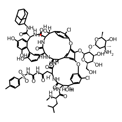 CN[C@H](CC(C)C)C(=O)N[C@H]1C(=O)N[C@@H](CC(=O)NC(=O)NS(=O)(=O)c2ccc(C)cc2)C(=O)N[C@H]2C(=O)N[C@H]3C(=O)N[C@H](C(=O)N[C@H](C(=O)NC4C5CC6CC(C5)CC4C6)c4cc(O)cc(O)c4-c4cc3ccc4O)[C@H](O)c3ccc(c(Cl)c3)Oc3cc2cc(c3O[C@@H]2O[C@H](CO)[C@@H](O)[C@H](O)[C@H]2O[C@H]2C[C@](C)(N)[C@H](O)[C@H](C)O2)Oc2ccc(cc2Cl)[C@H]1O